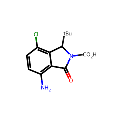 CC(C)(C)C1c2c(Cl)ccc(N)c2C(=O)N1C(=O)O